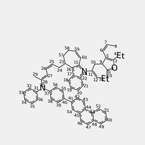 C=C1OC(CC)=C(/C=C\C)C1C/C(=C\CC)n1c2c(c3ccccc31)C(C/C=C\C=C(/C)N(c1ccccc1)c1ccc(-c3ccc4c(ccc5ccccc54)c3)cc1)CCC=C2